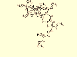 CCC(COCCC[Si](C)(O[Si](C)(C)C)O[Si](C)(C)O[Si](C)(C)C)(COCC(O)COC)COCC(O)COC